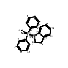 O=P(c1ccccc1)(c1ccccc1)N1CCc2ccccc21